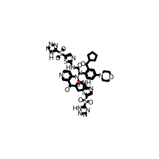 O=C(c1cnccc1N(C(=O)Nc1ncc(S(=O)(=O)c2nnn[nH]2)s1)N(C(=O)Nc1ncc(S(=O)(=O)c2nnn[nH]2)s1)c1ccc(N2CCOCC2)cc1C(=O)C1CCCC1)C1CCCC1